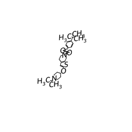 CC(C)N1CCC(Oc2cc3c(s2)CN(S(=O)(=O)c2ccc(C(C)(C)C)cc2)CC3)CC1